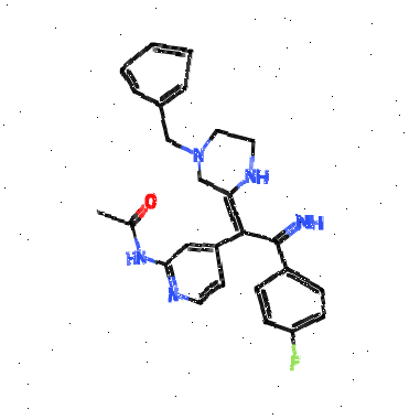 CC(=O)Nc1cc(/C(C(=N)c2ccc(F)cc2)=C2\CN(Cc3ccccc3)CCN2)ccn1